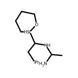 CC(C)CC(NC(C)N)[SiH]1CCCCO1